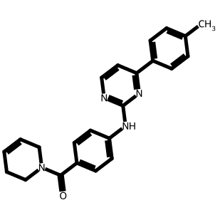 Cc1ccc(-c2ccnc(Nc3ccc(C(=O)N4CC=CCC4)cc3)n2)cc1